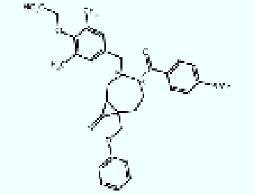 CSc1ccc(C(=O)[C@@H]2CCC3(COc4ccccc4)C(=O)C3C[C@H]2Cc2cc(C)c(OCC(=O)O)c(C)c2)cc1